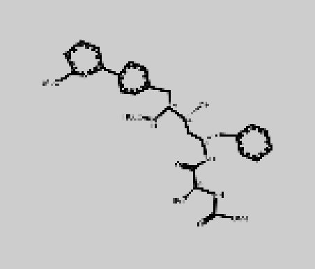 COC(=O)N[C@H](C(=O)N[C@@H](Cc1ccccc1)C[C@@H](O)[C@H](Cc1ccc(-c2cccc(OC)n2)cc1)NC(=O)O)C(C)(C)C